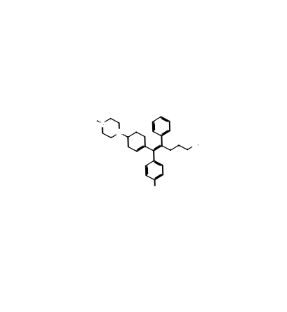 CN1CCN(C2CC=C(/C(=C(/CCCO)c3ccccc3)c3ccc(N)cc3)CC2)CC1